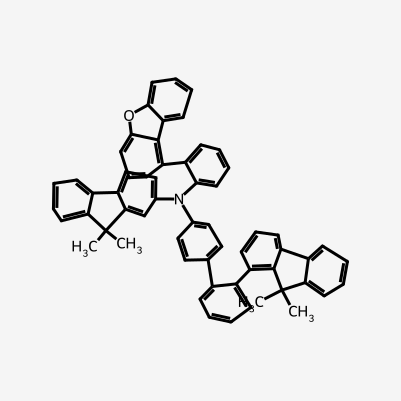 CC1(C)c2ccccc2-c2ccc(N(c3ccc(-c4ccccc4-c4cccc5c4C(C)(C)c4ccccc4-5)cc3)c3ccccc3-c3cccc4oc5ccccc5c34)cc21